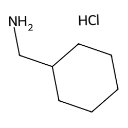 Cl.NCC1CCCCC1